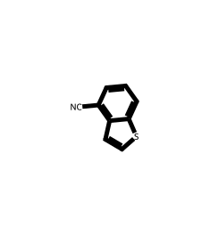 N#Cc1cccc2sccc12